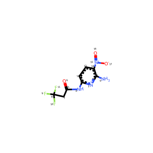 Nc1nc(NC(=O)CC(F)(F)F)ccc1[N+](=O)[O-]